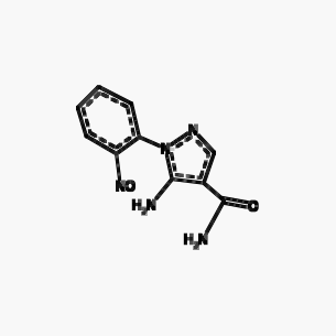 NC(=O)c1cnn(-c2ccccc2N=O)c1N